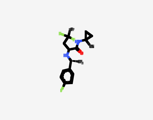 CCCC(F)(F)CC(N[C@@H](c1ccc(F)cc1)C(F)(F)F)C(=O)NC1(C#N)CC1